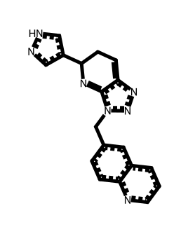 C1=c2nnn(Cc3ccc4ncccc4c3)c2=NC(c2cn[nH]c2)C1